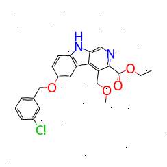 CCOC(=O)c1ncc2[nH]c3ccc(OCc4cccc(Cl)c4)cc3c2c1COC